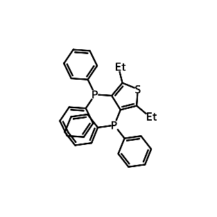 CCc1sc(CC)c(P(c2ccccc2)c2ccccc2)c1P(c1ccccc1)c1ccccc1